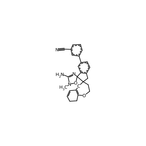 CN1OC2(N=C1N)c1cc(-c3cccc(C#N)c3)ccc1CC21CCOC2=C(C=CCC2)C1